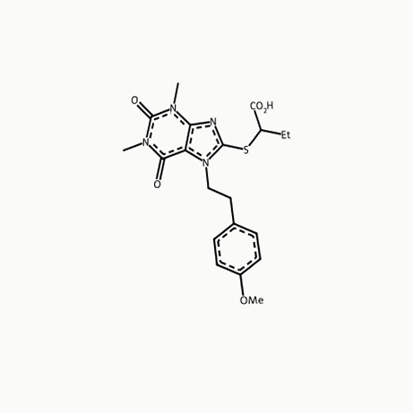 CCC(Sc1nc2c(c(=O)n(C)c(=O)n2C)n1CCc1ccc(OC)cc1)C(=O)O